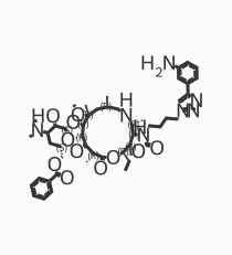 CC[C@H]1OC(=O)[C@H](C)C(=O)[C@H](C)[C@@H](O[C@@H]2O[C@H](COC(=O)c3ccccc3)CC(N(C)C)C2O)[C@](C)(OC)C[C@@H](C)CN[C@H](C)[C@H]2N(CCCCn3cc(-c4cccc(N)c4)nn3)C(=O)O[C@]12C